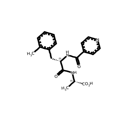 Cc1ccccc1C[C@H](NC(=O)c1ccncc1)C(=O)N[C@@H](C)C(=O)O